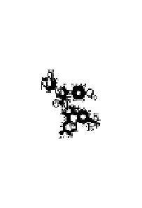 COc1ccc([C@@H]2CN(C3=CN(C)CN=C3)C[C@@]2(F)C(=O)N2C=C3C4CC(C)CCN4c4cc(C(F)(F)F)ccc4[C@H]3C2)cc1